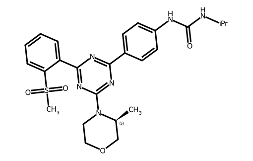 CC(C)NC(=O)Nc1ccc(-c2nc(-c3ccccc3S(C)(=O)=O)nc(N3CCOC[C@@H]3C)n2)cc1